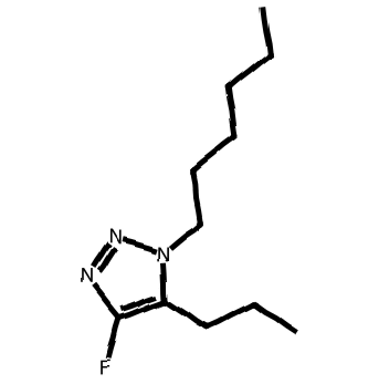 CCCCCCn1nnc(F)c1CCC